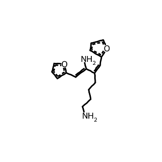 NCCCCC(=Cc1ccco1)C(N)=Cc1ccco1